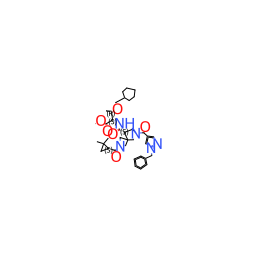 COC(=O)[C@@H](NC(=O)[C@@H]1CN(C(=O)c2cnn(Cc3ccccc3)c2)CC12CN(C(=O)[C@H]1CC1(C)C)C2)[C@@H](C)OCC1CCCCC1